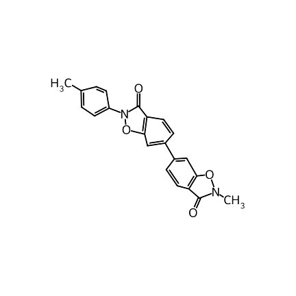 Cc1ccc(-n2oc3cc(-c4ccc5c(=O)n(C)oc5c4)ccc3c2=O)cc1